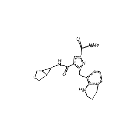 CNC(=O)c1cc(C(=O)NC2C3COCC32)n(Cc2cccc3c2NCCC3)n1